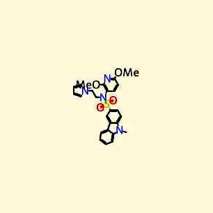 COc1ccc(N(CCn2cccc2)S(=O)(=O)c2ccc3c(c2)c2ccccc2n3C)c(OC)n1